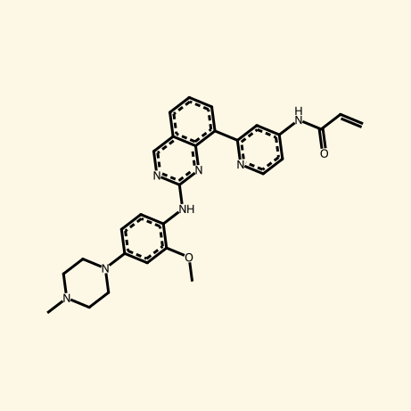 C=CC(=O)Nc1ccnc(-c2cccc3cnc(Nc4ccc(N5CCN(C)CC5)cc4OC)nc23)c1